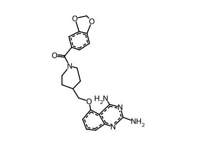 Nc1nc(N)c2c(OCC3CCN(C(=O)c4ccc5c(c4)OCO5)CC3)cccc2n1